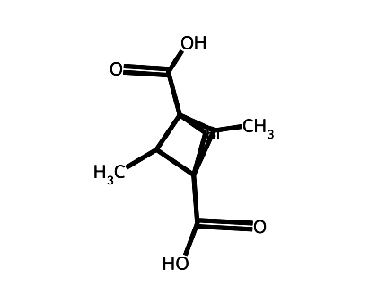 CC1C2(C(=O)O)C(C)C1(C(=O)O)C2Br